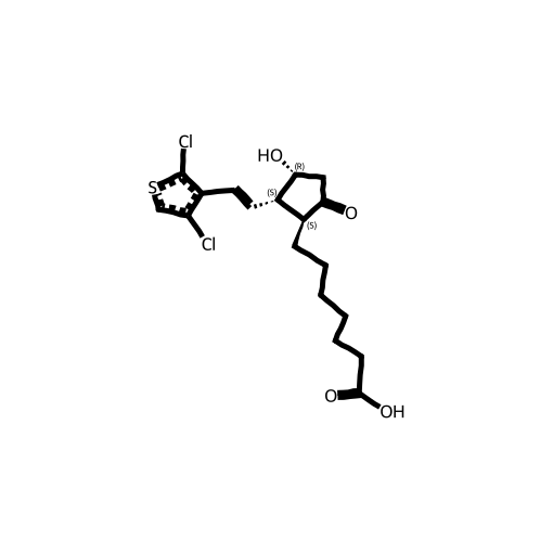 O=C(O)CCCCCC[C@@H]1C(=O)C[C@@H](O)[C@H]1C=Cc1c(Cl)csc1Cl